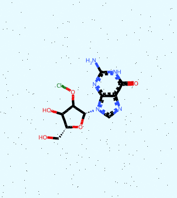 Nc1nc2c(ncn2[C@@H]2O[C@H](CO)C(O)C2OCl)c(=O)[nH]1